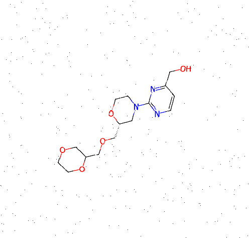 OCc1ccnc(N2CCO[C@@H](COCC3COCCO3)C2)n1